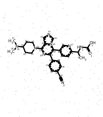 CC(NC(=O)O)c1ccc(-c2c(-c3ccc(C#N)cc3)nc(N3CCC(N(C)C)CC3)c3cncn23)cn1